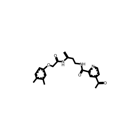 C=C(CCNC(=O)c1cc(C(C)=O)ccn1)NC(=O)COc1ccc(C)c(C)c1